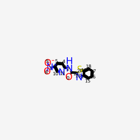 O=C(Nc1ccc([N+](=O)[O-])cn1)c1nc2ccccc2s1